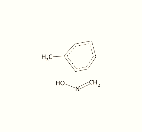 C=NO.Cc1ccccc1